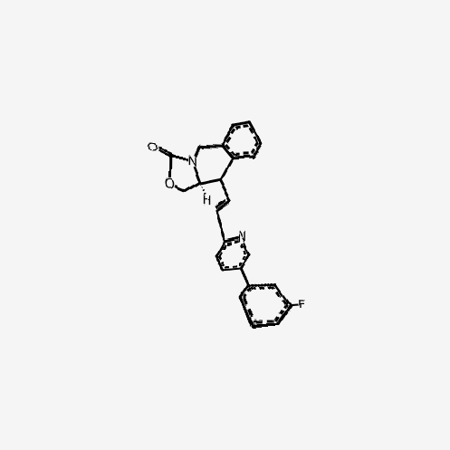 O=C1OC[C@@H]2C(/C=C/c3ccc(-c4cccc(F)c4)cn3)c3ccccc3CN12